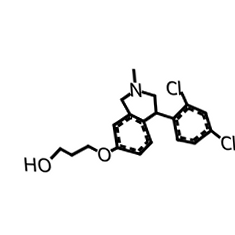 CN1Cc2cc(OCCCO)ccc2C(c2ccc(Cl)cc2Cl)C1